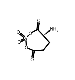 N[C@H]1CCC(=O)OS(=O)(=O)OC1=O